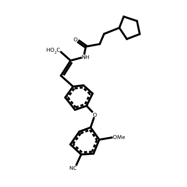 COc1cc(C#N)ccc1Oc1ccc(C=C(NC(=O)CCC2CCCC2)C(=O)O)cc1